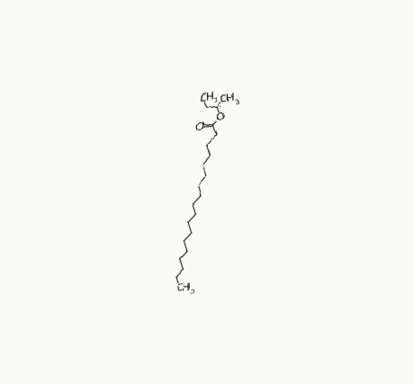 CCCCCCCCCCCCCCCCCC(=O)O[C](C)CC